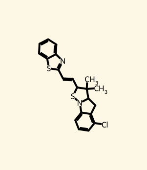 CC1(C)C(C=Cc2nc3ccccc3s2)SN2c3cccc(Cl)c3CC21